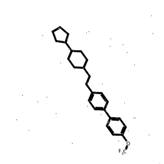 FC(F)(F)Oc1ccc(-c2ccc(CCC3CCC(C4CCCC4)CC3)cc2)cc1